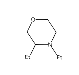 CCC1COCCN1CC